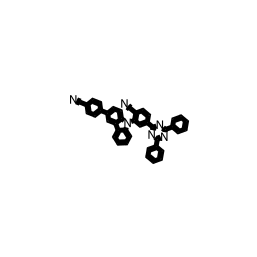 N#Cc1ccc(-c2ccc3c(c2)c2ccccc2n3-c2cc(-c3nc(-c4ccccc4)nc(-c4ccccc4)n3)ccc2C#N)cc1